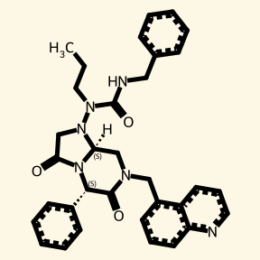 CCCN(C(=O)NCc1ccccc1)N1CC(=O)N2[C@@H](c3ccccc3)C(=O)N(Cc3cccc4ncccc34)C[C@@H]21